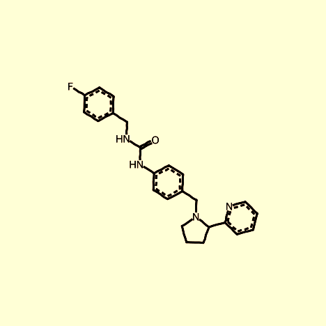 O=C(NCc1ccc(F)cc1)Nc1ccc(CN2CCCC2c2ccccn2)cc1